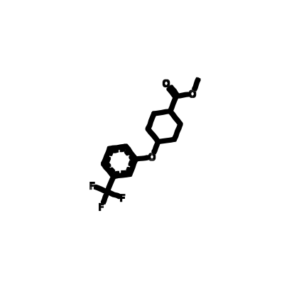 COC(=O)C1CCC(Oc2cccc(C(F)(F)F)c2)CC1